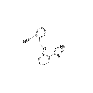 N#Cc1ccccc1COc1ccccc1-c1c[nH]cn1